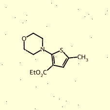 CCOC(=O)c1cc(C)sc1N1CCOCC1